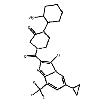 O=C(c1nc2c(C(F)(F)F)cc(C3CC3)cn2c1Cl)N1CCN(C2CCCCC2O)C(=O)C1